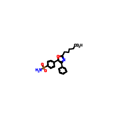 NS(=O)(=O)c1ccc(-c2oc(CCCCC(=O)O)nc2-c2ccccc2)cc1